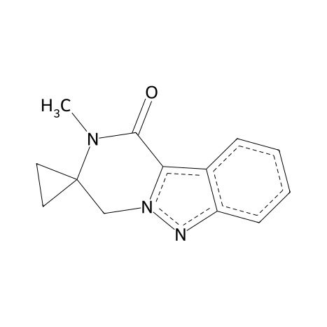 CN1C(=O)c2c3ccccc3nn2CC12CC2